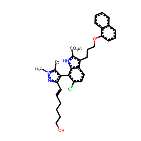 CCOC(=O)c1[nH]c2c(-c3c(/C=C/CCCCO)nn(C)c3CC)c(Cl)ccc2c1CCCOc1cccc2ccccc12